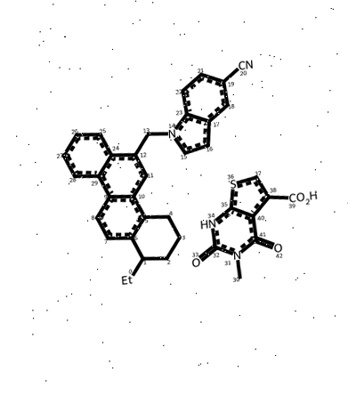 CCC1CCCc2c1ccc1c2cc(Cn2ccc3cc(C#N)ccc32)c2ccccc21.Cn1c(=O)[nH]c2scc(C(=O)O)c2c1=O